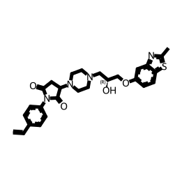 C=Cc1ccc(N2C(=O)CC(N3CCN(C[C@@H](O)COc4ccc5sc(C)nc5c4)CC3)C2=O)cc1